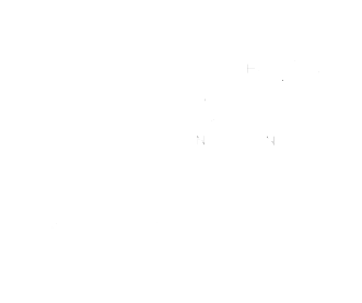 O=C(c1cncc(C2(O)COC2)c1)N1CC2CC(Oc3ccc(C(F)(F)F)cc3)CC2C1